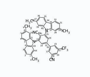 Cc1ccc2c3ccc(C)cc3n(-c3cc(-c4cc(C#N)cc(C(F)(F)F)c4)cc(-n4c5cc(C)ccc5c5ccc(C)cc54)c3C#N)c2c1